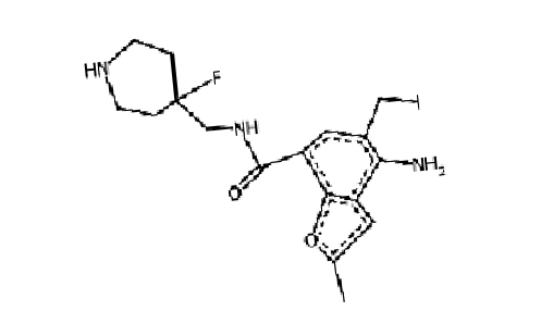 Cc1cc2c(N)c(CI)cc(C(=O)NCC3(F)CCNCC3)c2o1